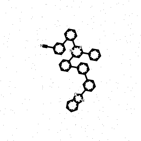 N#Cc1cccc(-c2ccccc2-c2nc(-c3ccccc3)cc(-c3ccccc3-c3cccc(-c4cccc(-c5nc6ccccc6o5)c4)c3)n2)c1